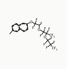 Cc1ccc2cc(OC(F)(F)C(F)OC(F)(F)C(F)(OC(F)(F)C(F)(F)C(F)(F)F)C(F)(F)F)ccc2c1